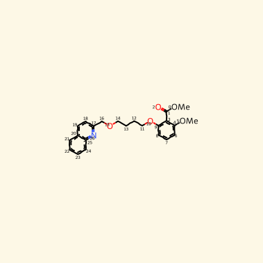 COC(=O)c1c(OC)cccc1OCCCCOCc1ccc2ccccc2n1